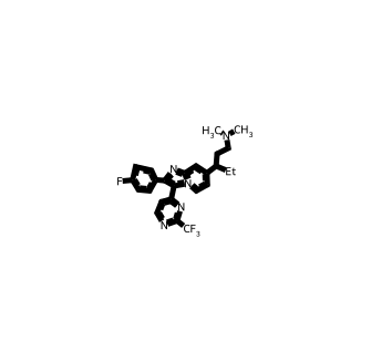 CCC(CCN(C)C)c1ccn2c(-c3ccnc(C(F)(F)F)n3)c(-c3ccc(F)cc3)nc2c1